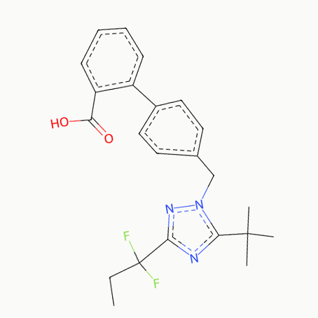 CCC(F)(F)c1nc(C(C)(C)C)n(Cc2ccc(-c3ccccc3C(=O)O)cc2)n1